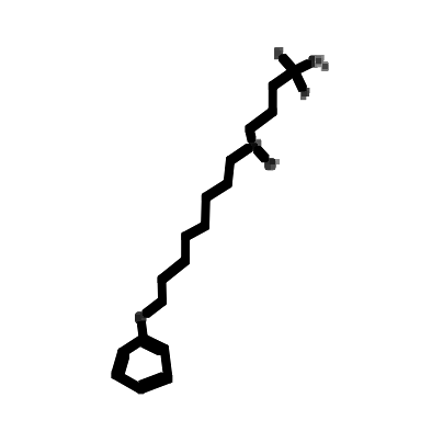 [O-][S+](CCCCCCCCOc1cc[c]cc1)CCCC(F)(F)C(F)(F)F